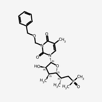 Cc1cn([C@@H]2O[C@H]([C@@H](C)CP(C)(C)=O)[C@@H](C)[C@H]2O)c(=O)n(COCc2ccccc2)c1=O